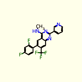 CNc1nc(-c2cccnc2)nc2cc(C(F)(F)F)c(-c3ccc(F)cc3F)cc12